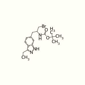 CCc1n[nH]c2cc(CC(CBr)NC(=O)OC(C)(C)C)ccc12